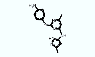 Cc1cc(Nc2cc(C)nc(Sc3ccc(N)cc3)n2)[nH]n1